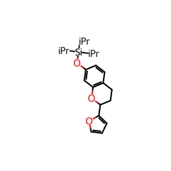 CC(C)[Si](Oc1ccc2c(c1)OC(c1ccco1)CC2)(C(C)C)C(C)C